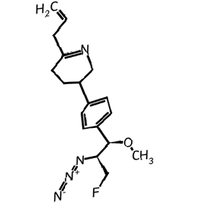 C=CCC1=NCC(c2ccc([C@@H](OC)[C@@H](CF)N=[N+]=[N-])cc2)CC1